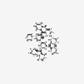 c1ccc(-c2cc(-c3cc(-n4c5ccccc5c5ccccc54)cc(-n4c5ccccc5c5ccccc54)c3)nc(-c3c4ccccc4cc4ccccc34)n2)cc1